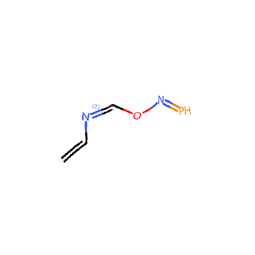 C=C/N=C\ON=P